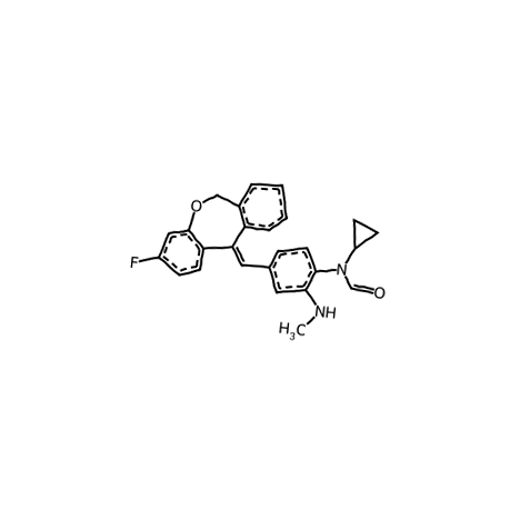 CNc1cc(/C=C2\c3ccccc3COc3cc(F)ccc32)ccc1N(C=O)C1CC1